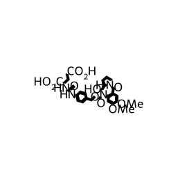 COc1cc2c(cc1OC)N(C(=O)OCc1ccc(NC(=O)N[C@@H](CCC(=O)O)C(=O)O)cc1)[C@@H](O)[C@@H]1CCCN1C2=O